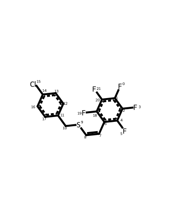 Fc1c(F)c(F)c(/C=C\SCc2ccc(Cl)cc2)c(F)c1F